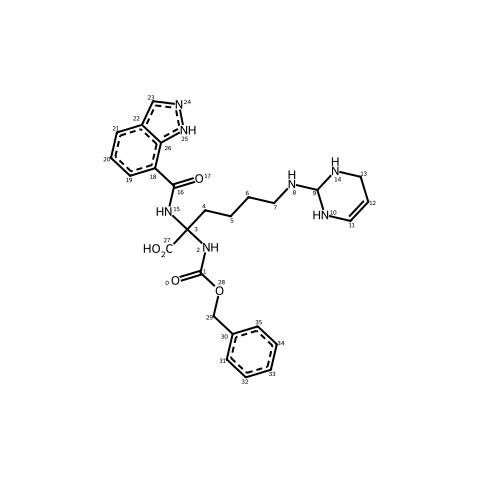 O=C(NC(CCCCNC1NC=CCN1)(NC(=O)c1cccc2cn[nH]c12)C(=O)O)OCc1ccccc1